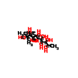 CC(O)C(O)C(O)C(O)C(O)C(C)(O)C(O)C(O)C(C)(C)O